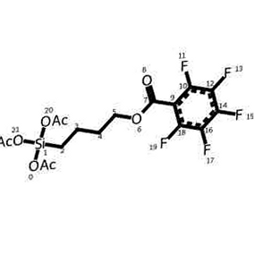 CC(=O)O[Si](CCCCOC(=O)c1c(F)c(F)c(F)c(F)c1F)(OC(C)=O)OC(C)=O